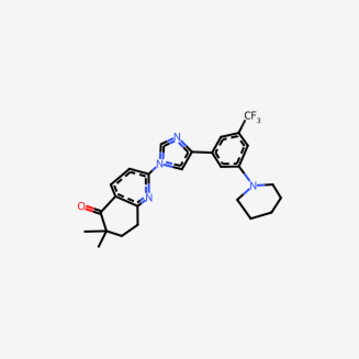 CC1(C)CCc2nc(-n3cnc(-c4cc(N5CCCCC5)cc(C(F)(F)F)c4)c3)ccc2C1=O